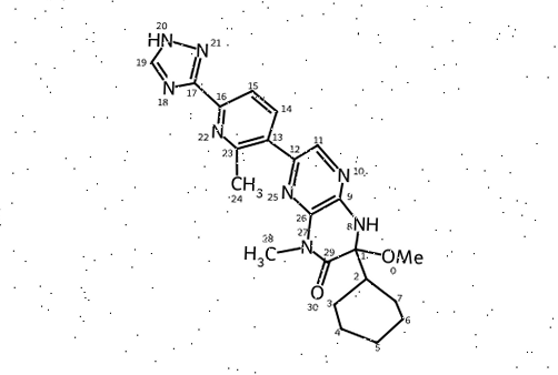 COC1(C2CCCCC2)Nc2ncc(-c3ccc(-c4nc[nH]n4)nc3C)nc2N(C)C1=O